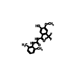 COc1cc(C(F)(F)F)c(C(=O)NC(=O)Nc2c(C)cccc2C)cc1O